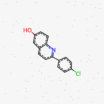 Oc1ccc2nc(-c3ccc(Cl)cc3)ccc2c1